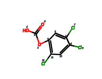 O=C(O)Oc1cc(Cl)c(Cl)cc1Cl